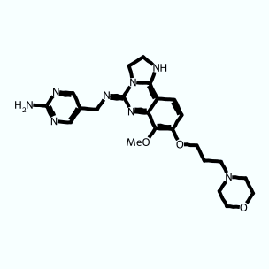 COc1c(OCCCN2CCOCC2)ccc2c3n(/c(=N/Cc4cnc(N)nc4)nc12)CCN3